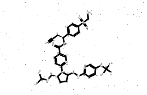 CCS(=O)(=O)c1ccc([C@H](CC#N)NC(=O)c2ccc(N3C(SOc4ccc(OC(F)(F)F)cn4)CC[C@H]3COC(F)F)nc2)cc1